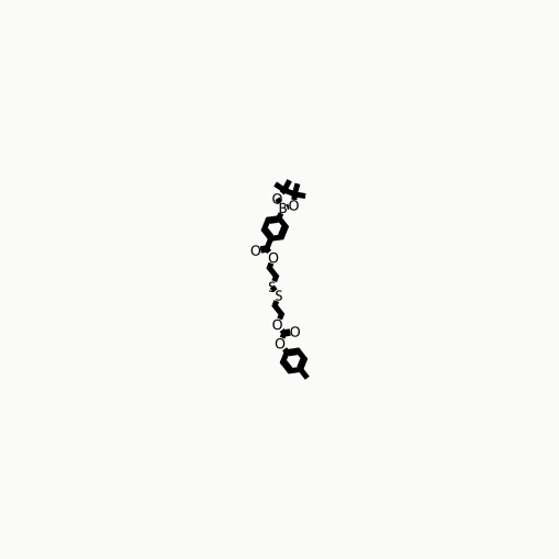 Cc1ccc(OC(=O)OCCSSCCOC(=O)c2ccc(B3OC(C)(C)C(C)(C)O3)cc2)cc1